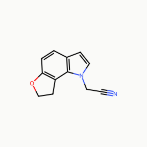 N#CCn1ccc2ccc3c(c21)CCO3